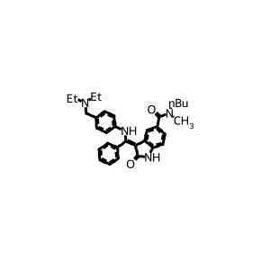 CCCCN(C)C(=O)c1ccc2c(c1)C(=C(Nc1ccc(CN(CC)CC)cc1)c1ccccc1)C(=O)N2